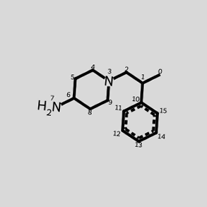 CC(CN1CCC(N)CC1)c1ccccc1